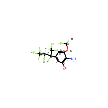 Nc1c(Br)cc(C(F)(C(F)(F)F)C(F)(F)C(F)(F)F)cc1OC(F)F